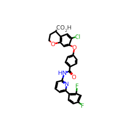 O=C(Nc1cccc(-c2ccc(F)cc2F)n1)c1ccc(Oc2cc3c(cc2Cl)C(C(=O)O)CCO3)cc1